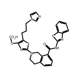 O=C(O)Oc1nc(N2CCc3cccc(C(=O)Nc4nc5ccccc5s4)c3C2)sc1CCCn1ccnc1